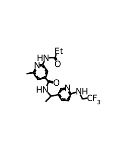 CCC(=O)Nc1cc(C(=O)NC(C)c2ccc(NCC(F)(F)F)nc2)cc(C)n1